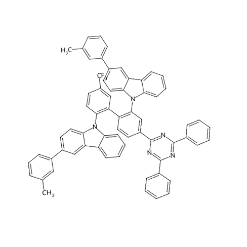 Cc1cccc(-c2ccc3c(c2)c2ccccc2n3-c2ccc(C(F)(F)F)cc2-c2ccc(-c3nc(-c4ccccc4)nc(-c4ccccc4)n3)cc2-n2c3ccccc3c3cc(-c4cccc(C)c4)ccc32)c1